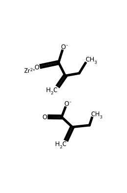 C=C(CC)C(=O)[O-].C=C(CC)C(=O)[O-].[Zr+2]